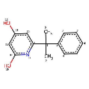 CC(C)(c1ccccc1)c1cc(O)cc(O)n1